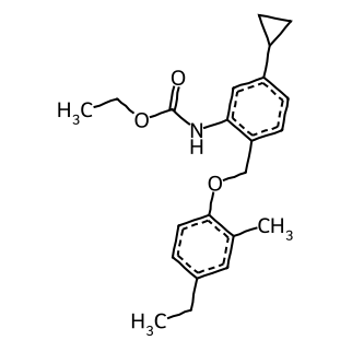 CCOC(=O)Nc1cc(C2CC2)ccc1COc1ccc(CC)cc1C